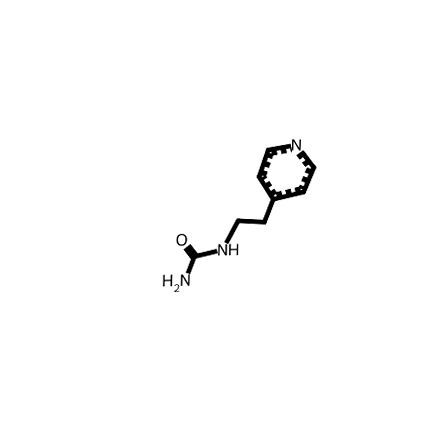 NC(=O)NCCc1ccncc1